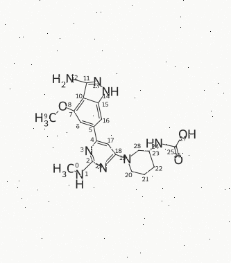 CNc1nc(-c2cc(OC)c3c(N)n[nH]c3c2)cc(N2CCC[C@@H](NC(=O)O)C2)n1